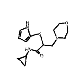 O=C(NC1CC1)C(CN1CCOCC1)Sc1ccc[nH]1